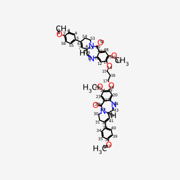 COc1ccc(C2=C[C@H]3C=Nc4cc(OCCCOc5cc6c(cc5OC)C(=O)N5CCC(c7ccc(OC)cc7)=C[C@H]5C=N6)c(OC)cc4C(=O)N3CC2)cc1